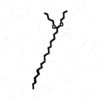 CCC=CC=CCCCCCCCCCCCC(OCCCC)OCCCC